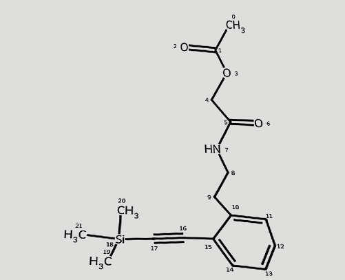 CC(=O)OCC(=O)NCCc1ccccc1C#C[Si](C)(C)C